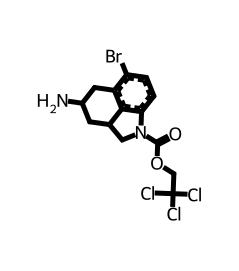 NC1Cc2c(Br)ccc3c2C(C1)CN3C(=O)OCC(Cl)(Cl)Cl